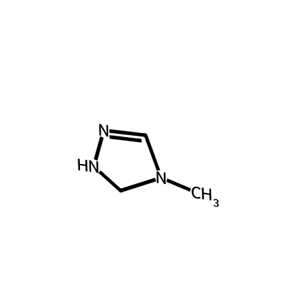 CN1C=NNC1